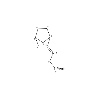 CCCCCCN=C1CC2CCC1C2